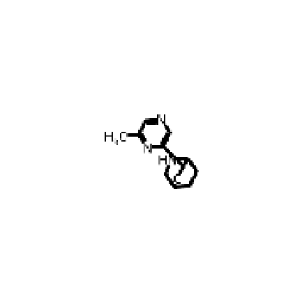 Cc1cncc(C2CC3CCC2NC3)n1